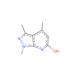 Cc1cc(O)nc2c1c(C)nn2C